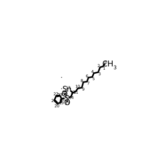 CCCCCCCCCCCC[CH]([Sn])CS(=O)(=O)c1ccccc1